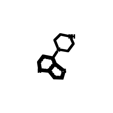 c1cc(N2CCNCC2)c2sccc2n1